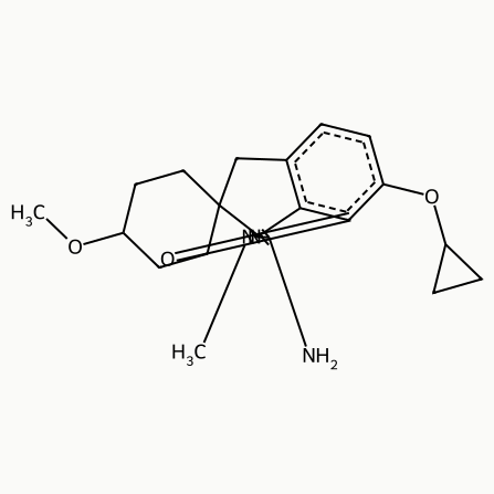 COC1CCC2(CC1)Cc1ccc(OC3CC3)cc1C21N=C(N)N(C)C1=O